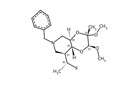 CO[C@H]1O[C@@H]2[C@@H]([C@@H](C)F)CN(Cc3ccccc3)C[C@H]2O[C@]1(C)OC